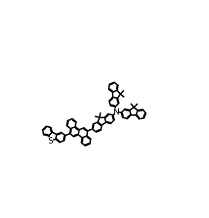 CC1(C)c2ccccc2-c2ccc(N(c3ccc4c(c3)C(C)(C)c3ccccc3-4)c3ccc4c(c3)C(C)(C)c3cc(-c5cc6c7ccccc7c(-c7ccc8sc9ccccc9c8c7)cc6c6ccccc56)ccc3-4)cc21